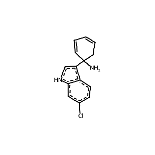 NC1(c2c[nH]c3cc(Cl)ccc23)C=CC=CC1